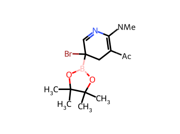 CNC1=C(C(C)=O)CC(Br)(B2OC(C)(C)C(C)(C)O2)C=N1